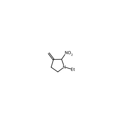 C=C1CCN(CC)C1[N+](=O)[O-]